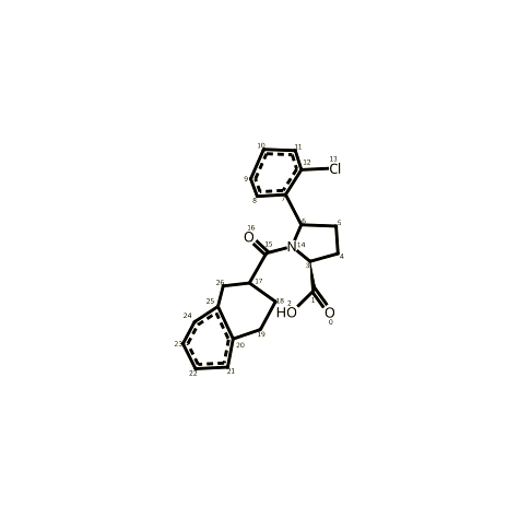 O=C(O)[C@@H]1CCC(c2ccccc2Cl)N1C(=O)C1CCc2ccccc2C1